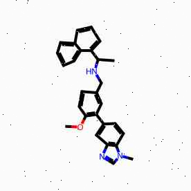 COc1ccc(CNC(C)c2cccc3ccccc23)cc1-c1ccc2c(c1)ncn2C